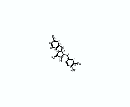 O=C1NC(Cc2ccc(Br)c(F)c2)c2nc3cc(F)ccc3n21